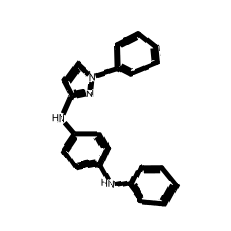 c1ccc(Nc2ccc(Nc3ccn(-c4ccccc4)n3)cc2)cc1